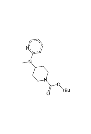 CN(c1ccccn1)C1CCN(C(=O)OC(C)(C)C)CC1